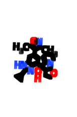 Cc1noc(C)c1-c1cc(C(O)(c2ccccn2)C2CCOC2)c2nc(C3CC3)[nH]c2c1